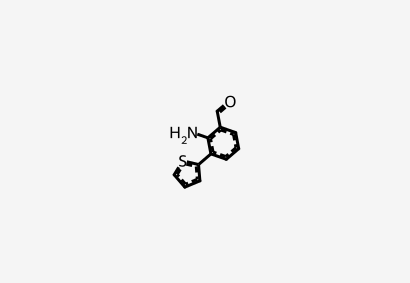 Nc1c(C=O)cccc1-c1cccs1